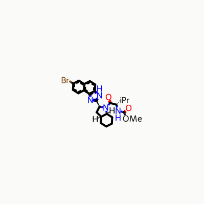 COC(=O)N[C@H](C(=O)N1[C@H](c2nc3c(ccc4cc(Br)ccc43)[nH]2)C[C@@H]2CCCC[C@@H]21)C(C)C